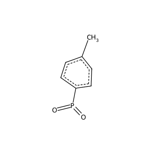 Cc1ccc(P(=O)=O)cc1